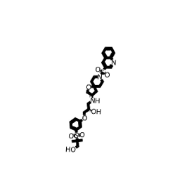 CC(C)(CO)S(=O)(=O)c1cccc(OC[C@@H](O)CN[C@H]2COC3(CCN(S(=O)(=O)c4cnc5ccccc5c4)CC3)C2)c1